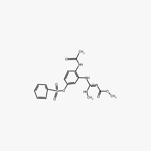 CN/C(=N\C(=O)OC)Nc1cc(OS(=O)(=O)c2ccccc2)ccc1NC(C)=O